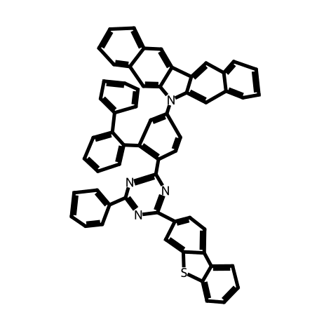 c1ccc(-c2nc(-c3ccc4c(c3)sc3ccccc34)nc(-c3ccc(-n4c5cc6ccccc6cc5c5cc6ccccc6cc54)cc3-c3ccccc3-c3ccccc3)n2)cc1